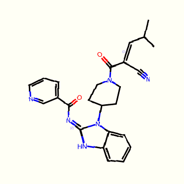 CC(C)/C=C(\C#N)C(=O)N1CCC(n2/c(=N\C(=O)c3cccnc3)[nH]c3ccccc32)CC1